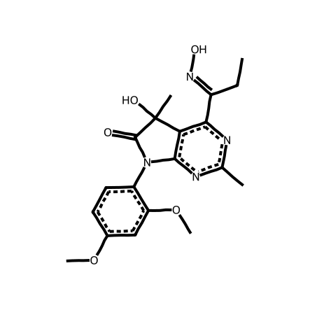 CCC(=NO)c1nc(C)nc2c1C(C)(O)C(=O)N2c1ccc(OC)cc1OC